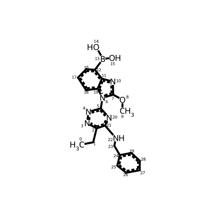 CCc1nnc(-n2c(OC)nc3c(B(O)O)cccc32)nc1NCc1ccccc1